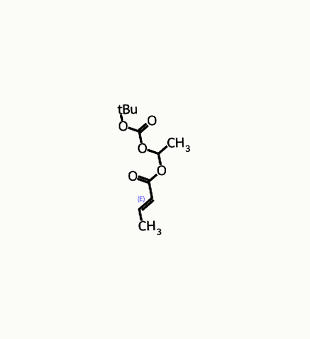 C/C=C/C(=O)OC(C)OC(=O)OC(C)(C)C